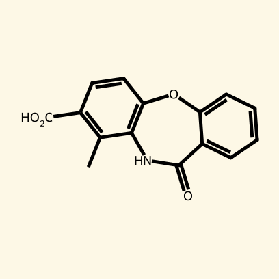 Cc1c(C(=O)O)ccc2c1NC(=O)c1ccccc1O2